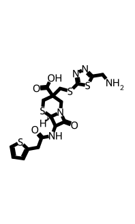 NCc1nnc(SCC2(C(=O)O)CS[C@@H]3C(NC(=O)Cc4cccs4)C(=O)N3C2)s1